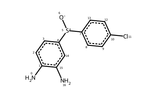 Nc1ccc([S+]([O-])c2ccc(Cl)cc2)cc1N